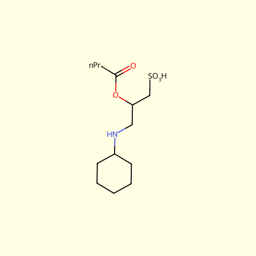 CCCC(=O)OC(CNC1CCCCC1)CS(=O)(=O)O